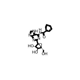 O=C(Nc1nc(C2O[C@H](CO)[C@@H](O)[C@@H]2O)nc2nc[nH]c12)c1ccccc1